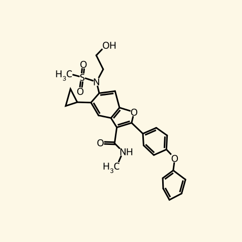 CNC(=O)c1c(-c2ccc(Oc3ccccc3)cc2)oc2cc(N(CCO)S(C)(=O)=O)c(C3CC3)cc12